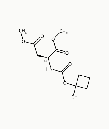 COC(=O)C[C@H](NC(=O)OC1(C)CCC1)C(=O)OC